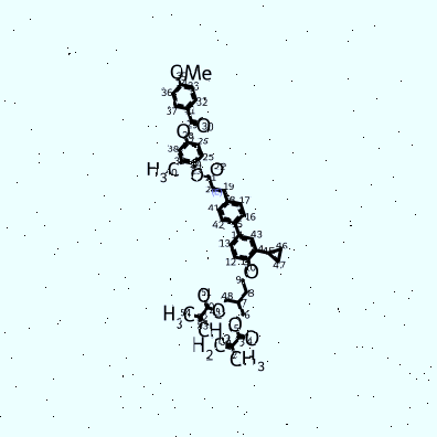 C=C(C)C(=O)OCC(CCOc1ccc(-c2ccc(/C=C/C(=O)Oc3ccc(OC(=O)c4ccc(OC)cc4)cc3C)cc2)cc1C1CC1)COC(=O)C(=C)C